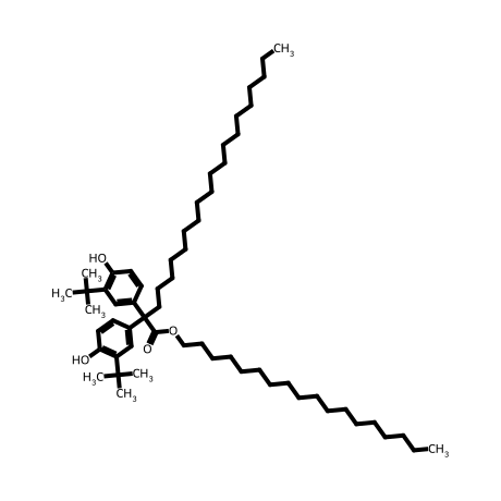 CCCCCCCCCCCCCCCCCCCC(C(=O)OCCCCCCCCCCCCCCCCCC)(c1ccc(O)c(C(C)(C)C)c1)c1ccc(O)c(C(C)(C)C)c1